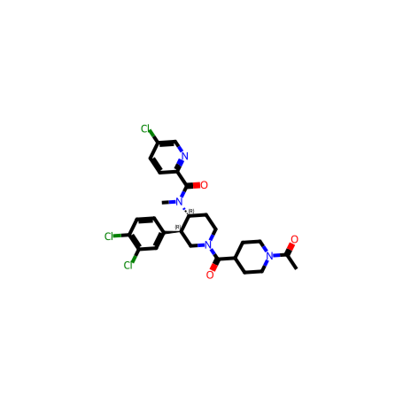 CC(=O)N1CCC(C(=O)N2CC[C@@H](N(C)C(=O)c3ccc(Cl)cn3)[C@H](c3ccc(Cl)c(Cl)c3)C2)CC1